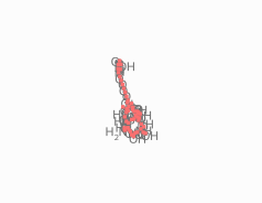 CC[C@H](C)[C@@H]1CCNC(=O)CNC(=O)[C@@H]2CNC(=O)[C@H]([C@@H](C)[C@@H](O)CO)NC(=O)C3C[C@@H](O)CN3C(=O)[C@H](CC(N)=O)NC(=O)[C@@H](C[S+]([O-])c3[nH]c4c(CSC5CCN(C(=O)CCOCCOCCOCCOCCn6cc(CN7C(=O)C=CC7O)nn6)CC5)c(OC)ccc4c32)NC(=O)CNC1=O